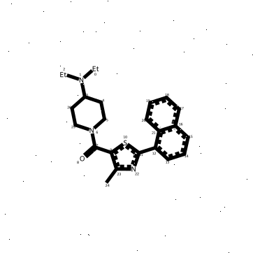 CCN(CC)C1CCN(C(=O)c2sc(-c3cccc4ccccc34)nc2C)CC1